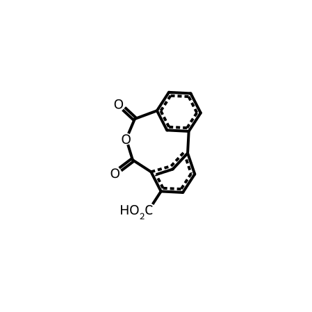 O=C1OC(=O)c2cc(ccc2C(=O)O)-c2cccc1c2